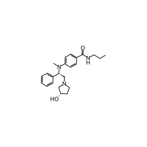 CCCNC(=O)c1ccc(N(C)[C@@H](CN2CC[C@H](O)C2)c2ccccc2)cc1